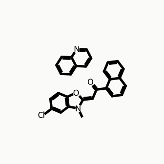 CN1C(=CC(=O)c2cccc3ccccc23)Oc2ccc(Cl)cc21.c1ccc2ncccc2c1